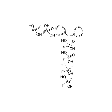 O=[As](O)(O)F.O=[As](O)(O)F.O=[As](O)(O)F.O=[As](O)(O)F.O=[As](O)(O)F.O=[As](O)(O)F.c1ccc([I+]c2ccccc2)cc1